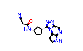 N#CCC(=O)N[C@H]1CC[C@@H](c2nnc3cnc4[nH]ccc4n23)C1